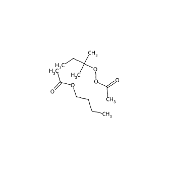 CCC(C)(C)OOC(C)=O.CCCCOC(C)=O